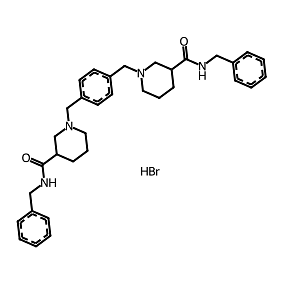 Br.O=C(NCc1ccccc1)C1CCCN(Cc2ccc(CN3CCCC(C(=O)NCc4ccccc4)C3)cc2)C1